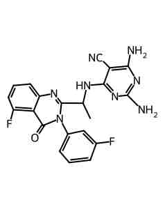 CC(Nc1nc(N)nc(N)c1C#N)c1nc2cccc(F)c2c(=O)n1-c1cccc(F)c1